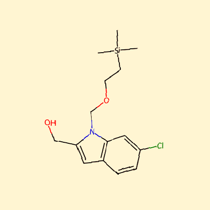 C[Si](C)(C)CCOCn1c(CO)cc2ccc(Cl)cc21